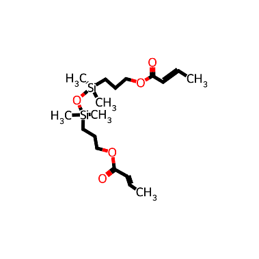 CC=CC(=O)OCCC[Si](C)(C)O[Si](C)(C)CCCOC(=O)C=CC